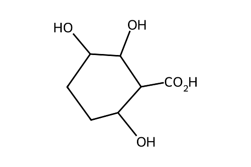 O=C(O)C1C(O)CCC(O)C1O